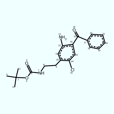 CC(C)(C)OC(=O)NCCc1cc(N)c(C(=O)c2ccccc2)cc1Cl